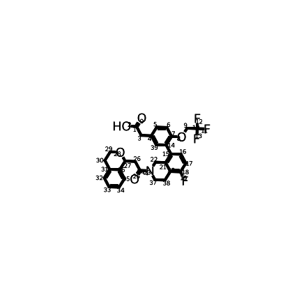 O=C(O)Cc1ccc(OCC(F)(F)F)c(-c2ccc(F)c3c2CN(C(=O)CC2OCCc4ccccc42)CC3)c1